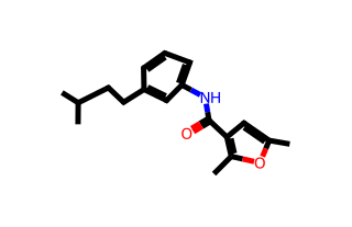 Cc1cc(C(=O)Nc2cccc(CCC(C)C)c2)c(C)o1